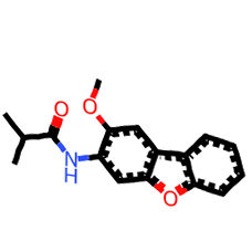 COc1cc2c(cc1NC(=O)C(C)C)oc1ccccc12